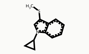 CSc1cn(C2CC2)c2ccccc12